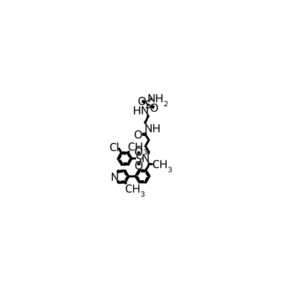 Cc1cnccc1-c1cccc(C(C)N(CCCC(=O)NCCNS(N)(=O)=O)S(=O)(=O)c2cccc(Cl)c2C)c1